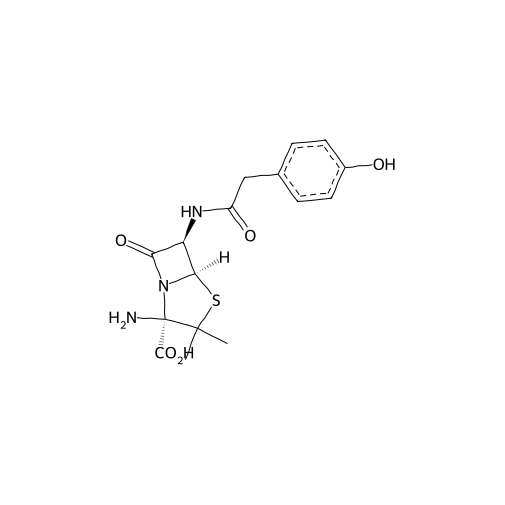 CC1(C)S[C@@H]2[C@H](NC(=O)Cc3ccc(O)cc3)C(=O)N2[C@@]1(N)C(=O)O